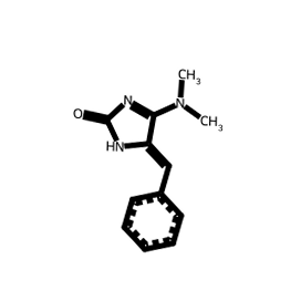 CN(C)C1=NC(=O)NC1=Cc1ccccc1